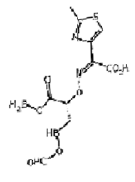 BOC(=O)[C@@H](CBOC=O)O/N=C(\C(=O)O)c1csc(C)n1